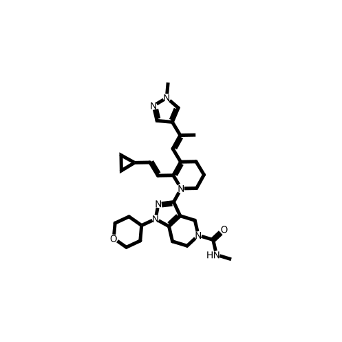 CNC(=O)N1CCc2c(c(N3CCCC(/C=C(\C)c4cnn(C)c4)=C3/C=C/C3CC3)nn2C2CCOCC2)C1